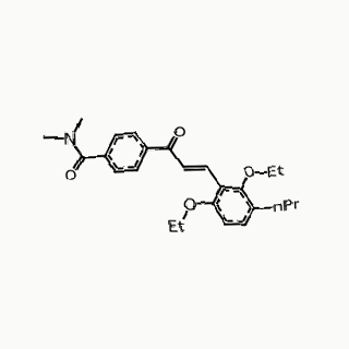 CCCc1ccc(OCC)c(/C=C/C(=O)c2ccc(C(=O)N(C)C)cc2)c1OCC